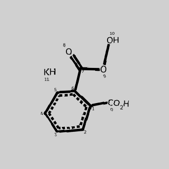 O=C(O)c1ccccc1C(=O)OO.[KH]